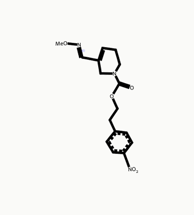 CO/N=C/C1=CCCN(C(=O)OCCc2ccc([N+](=O)[O-])cc2)C1